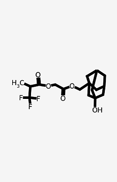 CC(C(=O)OCC(=O)OCC12CC3CC(CC(O)(C3)C1)C2)C(F)(F)F